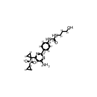 Nc1cc(C2(S(=O)(=O)C3CC3)CC2)nc(-c2ccc(NC(=O)NCCCO)cc2)n1